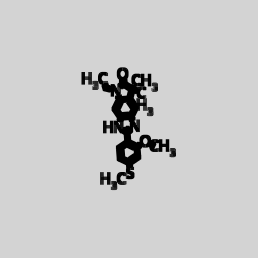 CCN1C(=O)C(C)(C)c2cc3nc(-c4ccc(SC)cc4OC)[nH]c3cc21